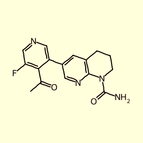 CC(=O)c1c(F)cncc1-c1cnc2c(c1)CCCN2C(N)=O